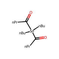 CCC[CH2][Sn]([CH2]CCC)([C](=O)CCC)[C](=O)CCC